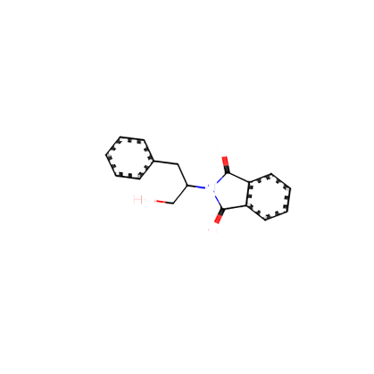 O=C1c2ccccc2C(=O)N1C(CO)Cc1ccccc1